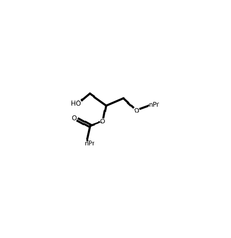 CCCOCC(CO)OC(=O)CCC